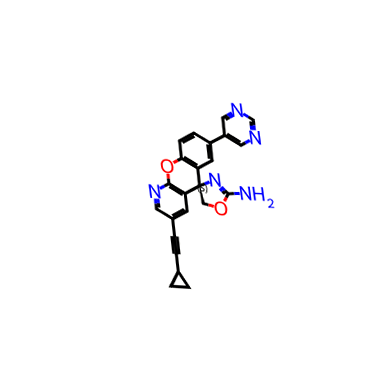 NC1=N[C@@]2(CO1)c1cc(-c3cncnc3)ccc1Oc1ncc(C#CC3CC3)cc12